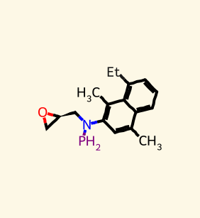 CCc1cccc2c(C)cc(N(P)C[C@H]3CO3)c(C)c12